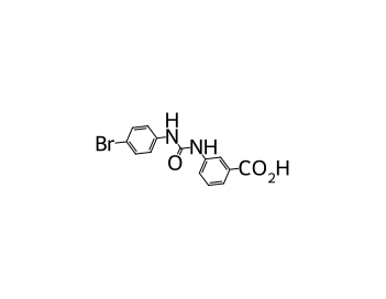 O=C(Nc1ccc(Br)cc1)Nc1cccc(C(=O)O)c1